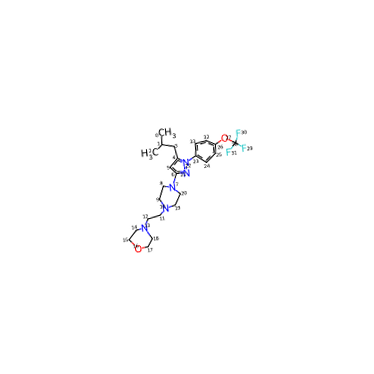 CC(C)Cc1cc(N2CCN(CCN3CCOCC3)CC2)nn1-c1ccc(OC(F)(F)F)cc1